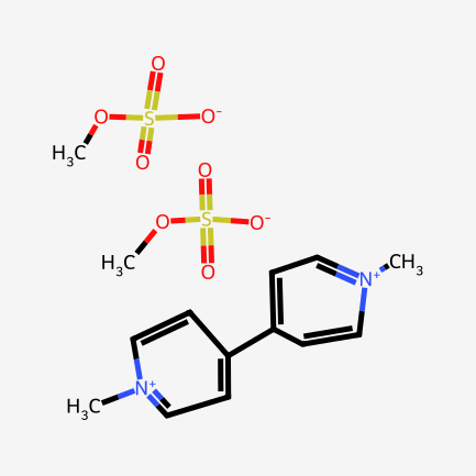 COS(=O)(=O)[O-].COS(=O)(=O)[O-].C[n+]1ccc(-c2cc[n+](C)cc2)cc1